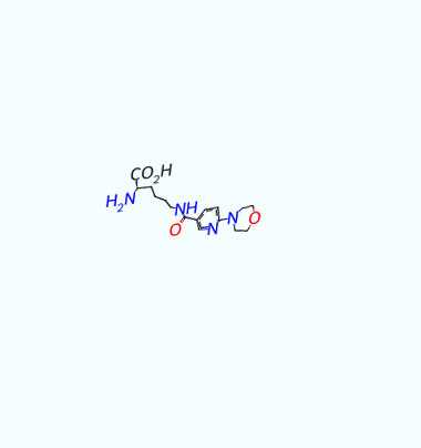 N[C@H](CCCCNC(=O)c1ccc(N2CCOCC2)nc1)C(=O)O